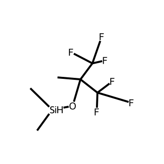 C[SiH](C)OC(C)(C(F)(F)F)C(F)(F)F